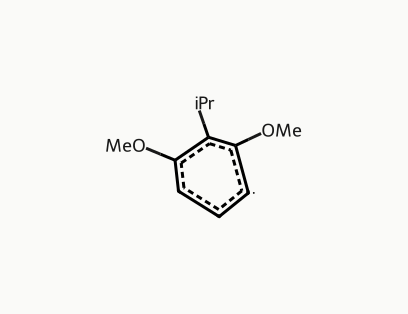 COc1[c]ccc(OC)c1C(C)C